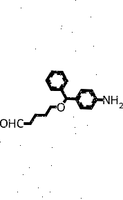 Nc1ccc(C(OCCCCC=O)c2ccccc2)cc1